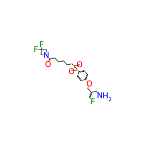 NC/C(=C\F)COc1ccc(S(=O)(=O)CCCCCC(=O)N2CC(F)(F)C2)cc1